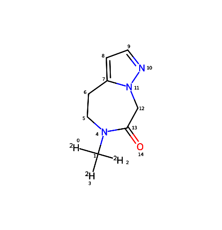 [2H]C([2H])([2H])N1CCc2ccnn2CC1=O